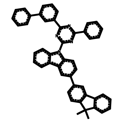 CC1(C)c2ccccc2-c2cc(-c3ccc4c(c3)c3ccccc3n4-c3nc(-c4ccccc4)nc(-c4cccc(-c5ccccc5)c4)n3)ccc21